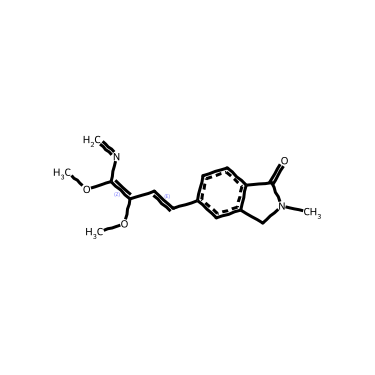 C=N/C(OC)=C(\C=C\c1ccc2c(c1)CN(C)C2=O)OC